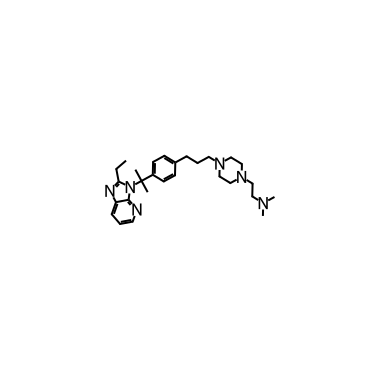 CCc1nc2cccnc2n1C(C)(C)c1ccc(CCCN2CCN(CCN(C)C)CC2)cc1